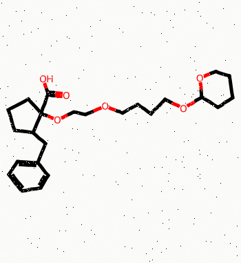 O=C(O)C1(OCCOCCCCOC2CCCCO2)CCCC1Cc1ccccc1